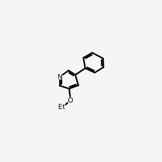 CCOc1cncc(-c2ccccc2)c1